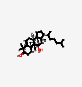 CC(C)CCCC(C)[C@H]1CC[C@H]2[C@@H]3CC=C4C(C)(C)C(=O)CC[C@]4(C)[C@H]3[C@@H](O)C[C@]12C